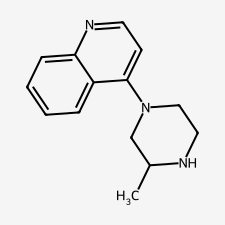 CC1CN(c2ccnc3ccccc23)CCN1